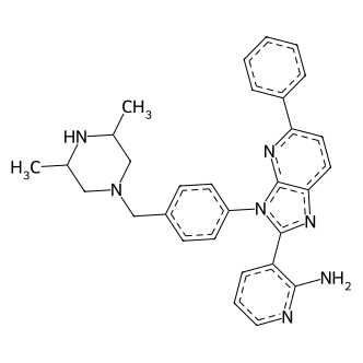 CC1CN(Cc2ccc(-n3c(-c4cccnc4N)nc4ccc(-c5ccccc5)nc43)cc2)CC(C)N1